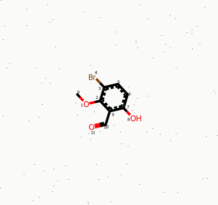 COc1c(Br)ccc(O)c1C=O